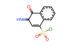 N=C1C=C(S(=O)(=O)Cl)c2ccccc2C1=O